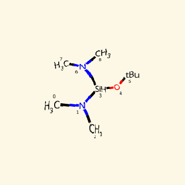 CN(C)[SiH](OC(C)(C)C)N(C)C